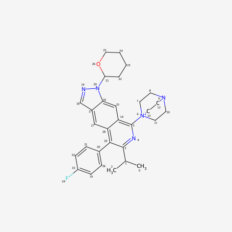 CC(C)c1nc([N+]23CCN(CC2)CC3)c2cc3c(cnn3C3CCCCO3)cc2c1-c1ccc(F)cc1